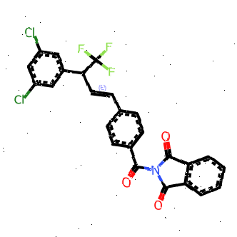 O=C(c1ccc(/C=C/C(c2cc(Cl)cc(Cl)c2)C(F)(F)F)cc1)N1C(=O)c2ccccc2C1=O